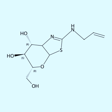 C=CCNC1=NC2C(O[C@H](CO)[C@@H](O)[C@@H]2O)S1